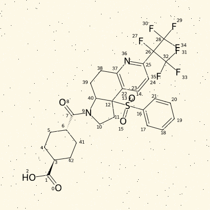 O=C(O)[C@H]1CC[C@H](C(=O)N2CCC3(S(=O)(=O)c4ccccc4)c4ccc(C(F)(C(F)(F)F)C(F)(F)F)nc4CCC23)CC1